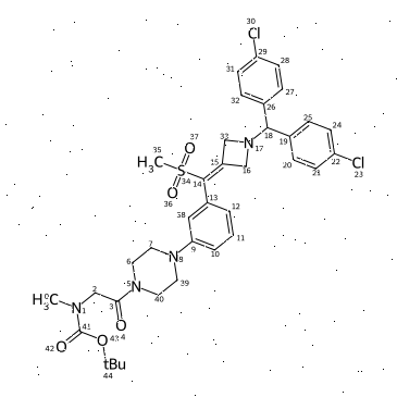 CN(CC(=O)N1CCN(c2cccc(C(=C3CN(C(c4ccc(Cl)cc4)c4ccc(Cl)cc4)C3)S(C)(=O)=O)c2)CC1)C(=O)OC(C)(C)C